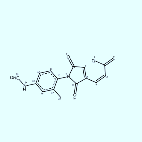 C=C(Cl)/C=C\C1=CC(=O)N(c2ccc(NC=O)cc2C)C1=O